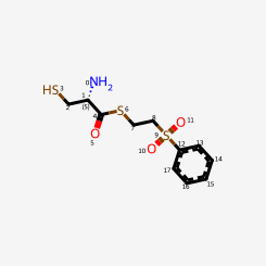 N[C@@H](CS)C(=O)SCCS(=O)(=O)c1ccccc1